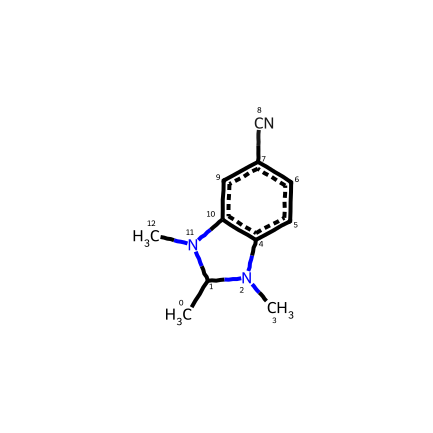 CC1N(C)c2ccc(C#N)cc2N1C